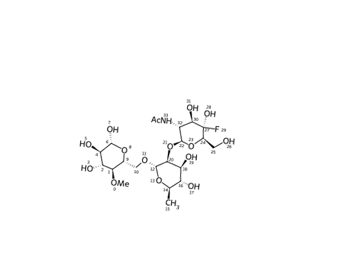 CO[C@H]1[C@H](O)[C@@H](O)[C@H](O)O[C@@H]1CO[C@H]1O[C@H](C)[C@@H](O)[C@H](O)[C@@H]1O[C@@H]1O[C@H](CO)[C@](O)(F)[C@H](O)[C@H]1NC(C)=O